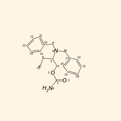 NC(=O)OCC(CF)N(Cc1ccccc1)Cc1ccccc1